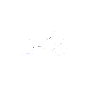 N=C(NN)c1cc(=O)c2c(O)cc(O)cc2o1